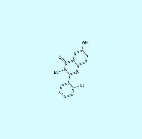 CCc1ccccc1-c1oc2ccc(O)cc2c(=O)c1CC